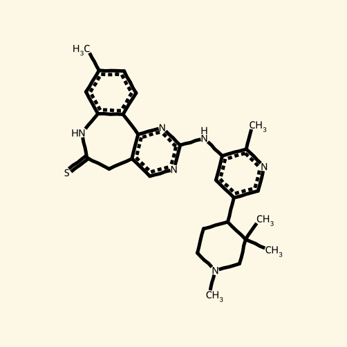 Cc1ccc2c(c1)NC(=S)Cc1cnc(Nc3cc(C4CCN(C)CC4(C)C)cnc3C)nc1-2